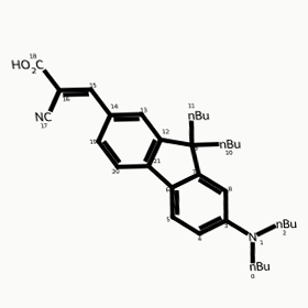 CCCCN(CCCC)c1ccc2c(c1)C(CCCC)(CCCC)c1cc(/C=C(\C#N)C(=O)O)ccc1-2